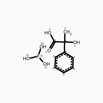 CC(O)(C(=O)O)c1ccccc1.OP(O)O